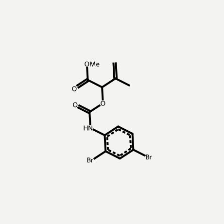 C=C(C)C(OC(=O)Nc1ccc(Br)cc1Br)C(=O)OC